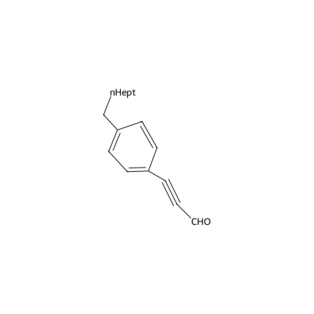 CCCCCCCCc1ccc(C#CC=O)cc1